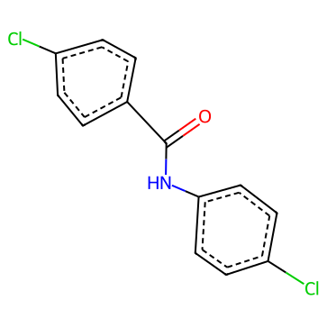 O=C(Nc1ccc(Cl)cc1)c1ccc(Cl)cc1